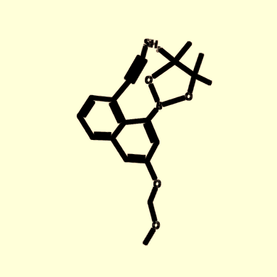 COCOc1cc(B2OC(C)(C)C(C)(C)O2)c2c(C#C[SiH3])cccc2c1